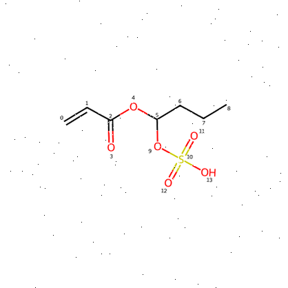 C=CC(=O)OC(CCC)OS(=O)(=O)O